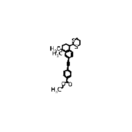 CCOC(=O)c1ccc(C#Cc2ccc3c(c2)C(C)(C)CCC3C2SCCCS2)cc1